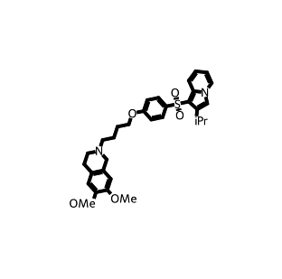 COc1cc2c(cc1OC)CN(CCCCOc1ccc(S(=O)(=O)c3c(C(C)C)cn4ccccc34)cc1)CC2